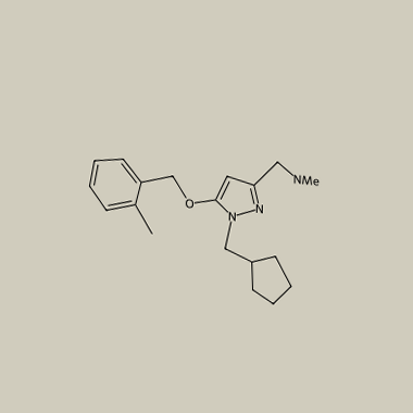 CNCc1cc(OCc2ccccc2C)n(CC2CCCC2)n1